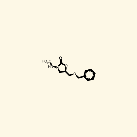 O=C(O)NN1CC(COCc2ccccc2)OC1=O